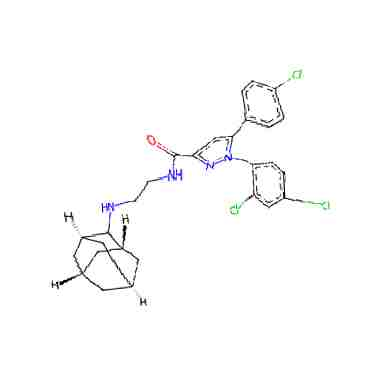 O=C(NCCNC1[C@H]2C[C@@H]3C[C@@H](C[C@H]1C3)C2)c1cc(-c2ccc(Cl)cc2)n(-c2ccc(Cl)cc2Cl)n1